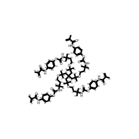 C=C(C)C(=O)Nc1ccc(OC(=O)NC(C)(C)CCOC(C)(C)CC(CC(C)(C)OCCC(C)(C)NC(=O)Oc2ccc(NC(=O)C(=C)C)cc2)(CC(C)(C)OCCC(C)(C)NC(=O)Oc2ccc(NC(=O)C(=C)C)cc2)CC(C)(C)OCCC(C)(C)NC(=O)Oc2ccc(NC(=O)C(C)=O)cc2)cc1